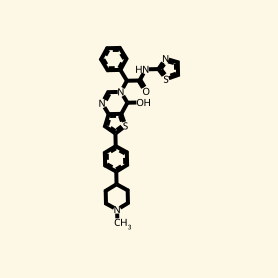 CN1CCC(c2ccc(-c3cc4c(s3)C(O)N(C(C(=O)Nc3nccs3)c3ccccc3)C=N4)cc2)CC1